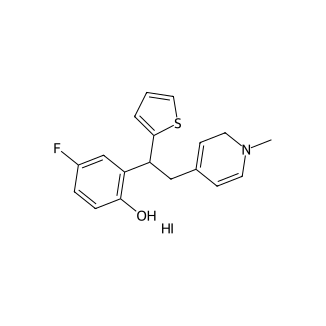 CN1C=CC(CC(c2cccs2)c2cc(F)ccc2O)=CC1.I